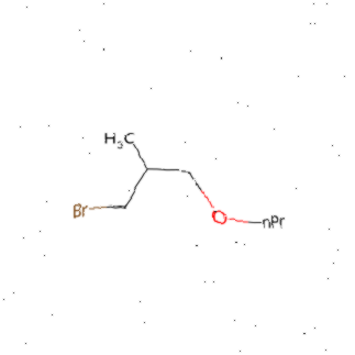 CCCOCC(C)CBr